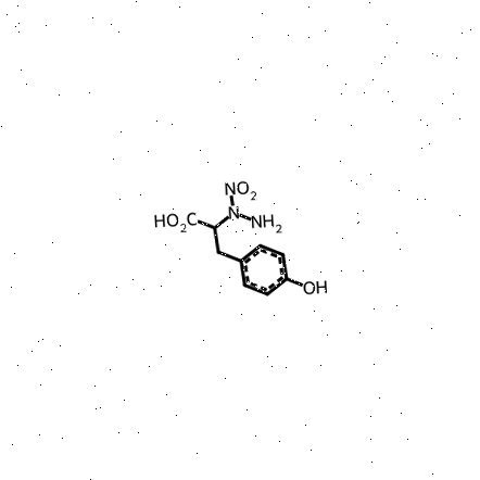 NN(C(Cc1ccc(O)cc1)C(=O)O)[N+](=O)[O-]